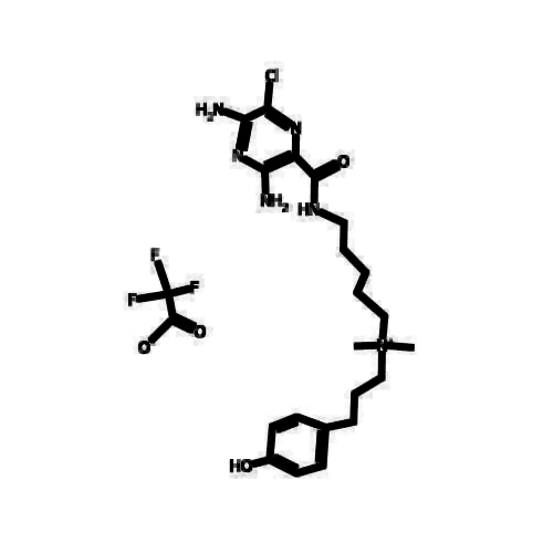 C[N+](C)(CCCCCNC(=O)c1nc(Cl)c(N)nc1N)CCCc1ccc(O)cc1.O=C([O-])C(F)(F)F